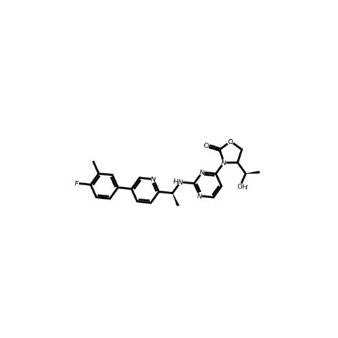 Cc1cc(-c2ccc([C@H](C)Nc3nccc(N4C(=O)OCC4[C@@H](C)O)n3)nc2)ccc1F